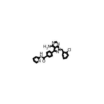 Nc1ncnc2c1c(-c1ccc(C(=O)Nc3ccccn3)cc1)nn2Cc1ccccc1Cl